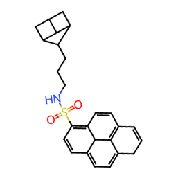 O=S(=O)(NCCCC1C2CC3CC1C32)C1=C2C=CC3=C4C(=CC=C(C=C1)C24)CC=C3